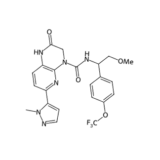 COCC(NC(=O)N1CC(=O)Nc2ccc(-c3ccnn3C)nc21)c1ccc(OC(F)(F)F)cc1